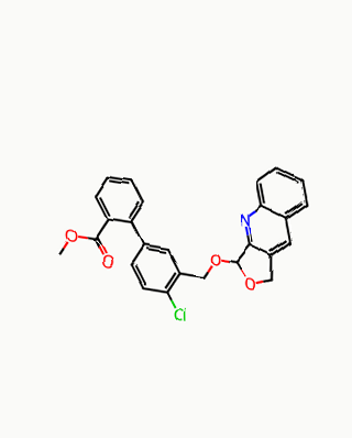 COC(=O)c1ccccc1-c1ccc(Cl)c(COC2OCc3cc4ccccc4nc32)c1